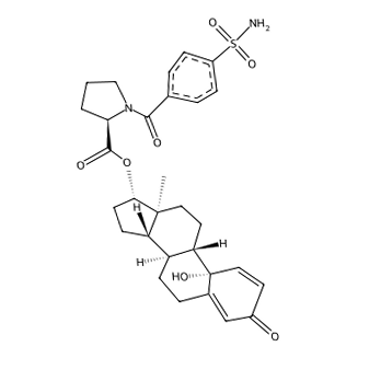 C[C@]12CC[C@H]3[C@@H](CCC4=CC(=O)C=C[C@@]43O)[C@@H]1CC[C@@H]2OC(=O)[C@H]1CCCN1C(=O)c1ccc(S(N)(=O)=O)cc1